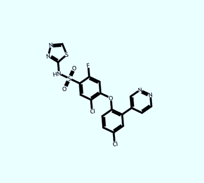 O=S(=O)(Nc1nncs1)c1cc(Cl)c(Oc2ccc(Cl)cc2-c2ccnnc2)cc1F